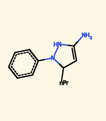 CCCC1C=C(N)NN1c1ccccc1